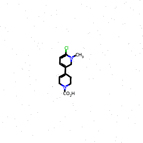 CN1CC(C2=CCN(C(=O)O)CC2)=CC=C1Cl